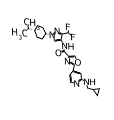 CC(C)[C@H]1CC[C@@H](n2cc(NC(=O)c3coc(-c4ccnc(NCC5CC5)c4)n3)c(C(F)F)n2)CC1